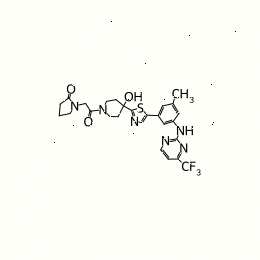 Cc1cc(Nc2nccc(C(F)(F)F)n2)cc(-c2cnc(C3(O)CCN(C(=O)CN4CCCC4=O)CC3)s2)c1